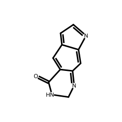 O=C1NCN=c2cc3c(cc21)=CC=N3